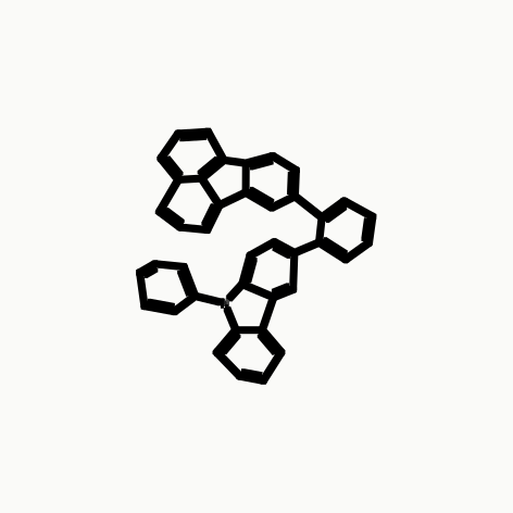 c1ccc(-n2c3ccccc3c3cc(-c4ccccc4-c4ccc5c(c4)-c4cccc6cccc-5c46)ccc32)cc1